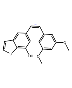 COc1cc(/C=C\c2cc(O)c3occc3c2)cc(OC)c1